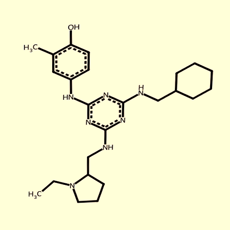 CCN1CCCC1CNc1nc(NCC2CCCCC2)nc(Nc2ccc(O)c(C)c2)n1